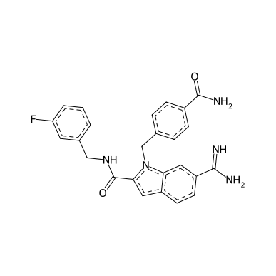 N=C(N)c1ccc2cc(C(=O)NCc3cccc(F)c3)n(Cc3ccc(C(N)=O)cc3)c2c1